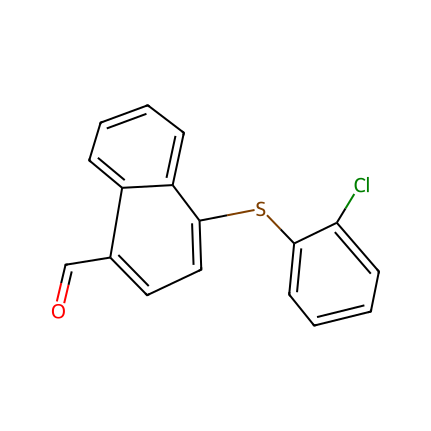 O=Cc1ccc(Sc2ccccc2Cl)c2ccccc12